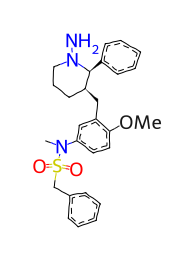 COc1ccc(N(C)S(=O)(=O)Cc2ccccc2)cc1C[C@H]1CCCN(N)[C@H]1c1ccccc1